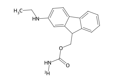 [2H]NC(=O)OCC1c2ccccc2-c2ccc(NCC)cc21